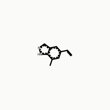 C=Cc1cc(C)c2[nH]ncc2c1